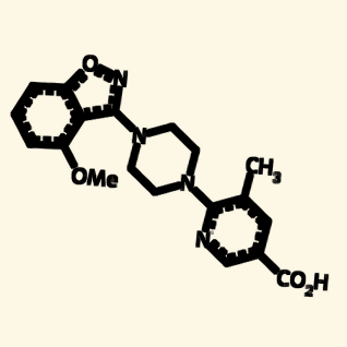 COc1cccc2onc(N3CCN(c4ncc(C(=O)O)cc4C)CC3)c12